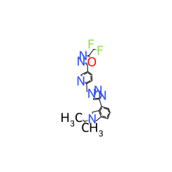 CC(C)N1Cc2cccc(-c3cn(Cc4ccc(-c5nnc(C(F)F)o5)cn4)nn3)c2C1